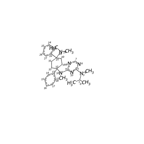 CC(C)N(C)c1ncnc(N(C)C2(c3ccccc3)CCC(c3ccccc3)(N(C)C)CC2)n1